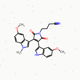 COc1ccc2[nH]cc(C3=C(c4cn(C)c5ccc(OC)cc45)C(=O)N(CCCC#N)C3=O)c2c1